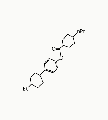 CCCC1CCC(C(=O)Oc2ccc(C3CCC(CC)CC3)cc2)CC1